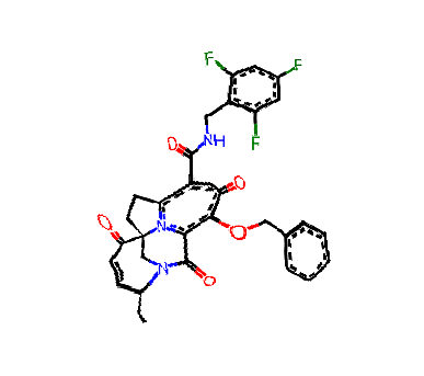 C[C@H]1C=CC(=O)[C@]23CCc4c(C(=O)NCc5c(F)cc(F)cc5F)c(=O)c(OCc5ccccc5)c(n42)C(=O)N1C3